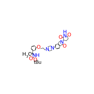 C[C@@H](NC(=O)OC(C)(C)C)c1cccc(OCCCN2CCN(c3ccc4c(c3)CN(C3CCC(=O)NC3=O)C4=O)CC2)c1